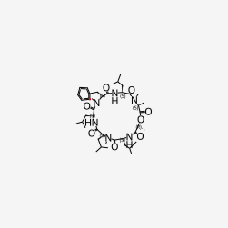 CC(C)C[C@@H]1NC(=O)[C@H](Cc2ccccc2)N(C)C(=O)[C@H](CC(C)C)NC(=O)[C@H](CC(C)C)N(C)C(=O)[C@H](CC(C)C)NC(=O)[C@@H](C)OC(=O)[C@H](C)N(C)C1=O